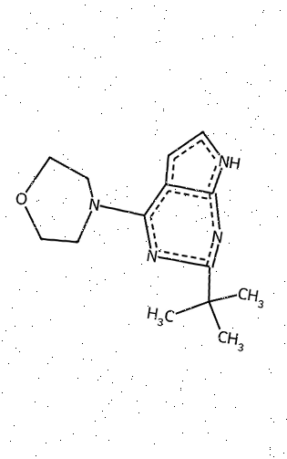 CC(C)(C)c1nc(N2CCOCC2)c2cc[nH]c2n1